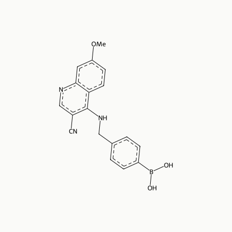 COc1ccc2c(NCc3ccc(B(O)O)cc3)c(C#N)cnc2c1